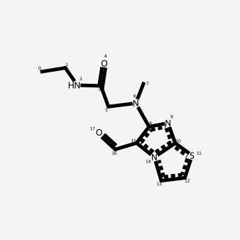 CCNC(=O)CN(C)c1nc2sccn2c1C=O